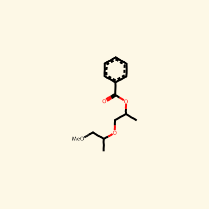 COCC(C)OCC(C)OC(=O)c1ccccc1